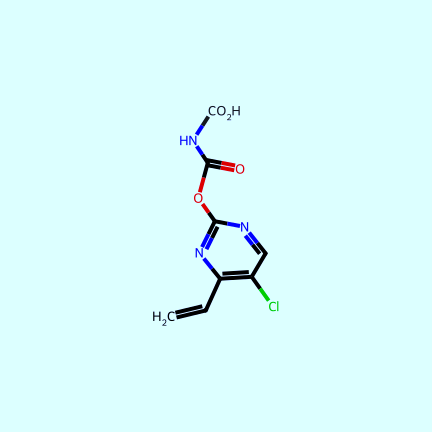 C=Cc1nc(OC(=O)NC(=O)O)ncc1Cl